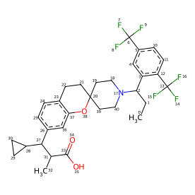 CCC(c1cc(C(F)(F)F)ccc1C(F)(F)F)N1CCC2(CCc3ccc(C(C4CC4)C(C)C(=O)O)cc3O2)CC1